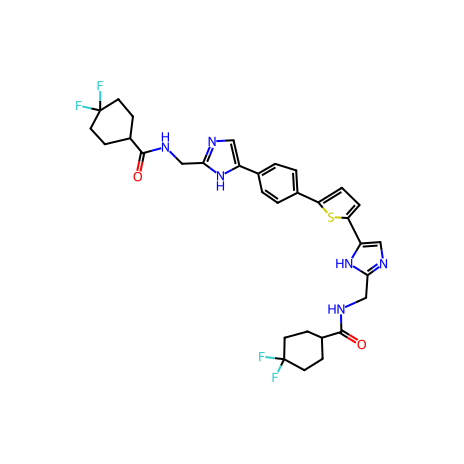 O=C(NCc1ncc(-c2ccc(-c3ccc(-c4cnc(CNC(=O)C5CCC(F)(F)CC5)[nH]4)s3)cc2)[nH]1)C1CCC(F)(F)CC1